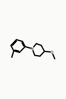 COC1CCN(c2cccc(C)c2)CC1